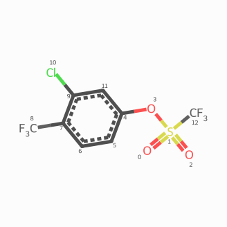 O=S(=O)(Oc1ccc(C(F)(F)F)c(Cl)c1)C(F)(F)F